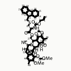 C=CCOC(=O)N[C@@H](CSCC1c2ccccc2-c2ccccc21)C(=O)OC[C@H]1C2=C3OCOC3=C(C)C(=O)C2(O)C[C@H]2[C@H]3c4c(cc(C)c(OC)c4OCOC)C[C@@H]([C@H](C#N)N12)N3C